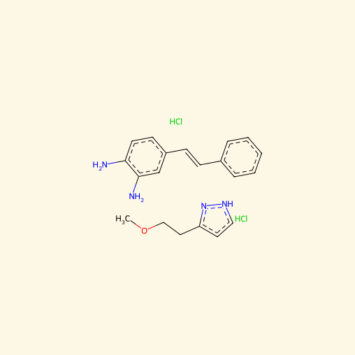 COCCc1cc[nH]n1.Cl.Cl.Nc1ccc(C=Cc2ccccc2)cc1N